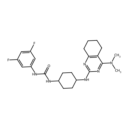 CN(C)c1nc(NC2CCC(NC(=O)Nc3cc(F)cc(F)c3)CC2)nc2c1CCCC2